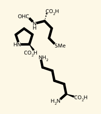 CSCC[C@H](NC=O)C(=O)O.NCCCC[C@H](N)C(=O)O.O=C(O)[C@@H]1CCCN1